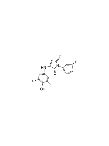 O=C1C=C(Nc2cc(F)c(O)c(F)c2)C(=O)N1c1cccc(F)c1